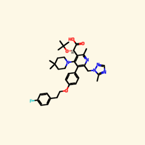 Cc1nc(Cn2ncnc2C)c(-c2ccc(OCCc3ccc(F)cc3)cc2)c(N2CCC(C)(C)CC2)c1[C@H](OC(C)(C)C)C(=O)O